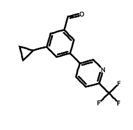 O=Cc1cc(-c2ccc(C(F)(F)F)nc2)cc(C2CC2)c1